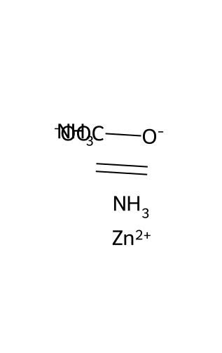 C=C.N.N.O=C([O-])[O-].[Zn+2]